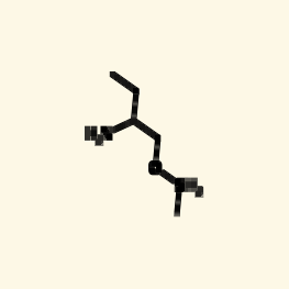 CCC(N)CO[SiH2]C